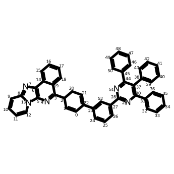 C1=CC(c2nc3c(nc4ccccn43)c3ccccc23)CC=C1c1cccc(-c2nc(-c3ccccc3)c(-c3ccccc3)c(-c3ccccc3)n2)c1